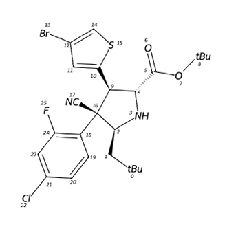 CC(C)(C)C[C@@H]1N[C@@H](C(=O)OC(C)(C)C)[C@H](c2cc(Br)cs2)[C@@]1(C#N)c1ccc(Cl)cc1F